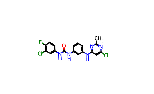 Cc1nc(Cl)cc(Nc2cccc(NC(=O)Nc3ccc(F)c(Cl)c3)c2)n1